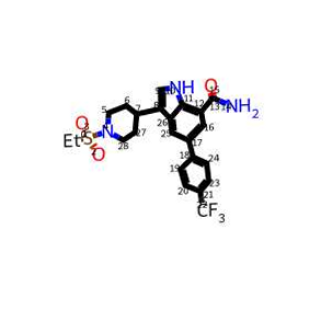 CCS(=O)(=O)N1CCC(c2c[nH]c3c(C(N)=O)cc(-c4ccc(C(F)(F)F)cc4)cc23)CC1